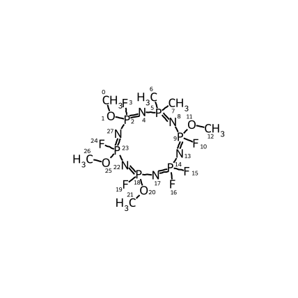 COP1(F)=NP(C)(C)=NP(F)(OC)=NP(F)(F)=NP(F)(OC)=NP(F)(OC)=N1